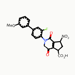 COc1cccc(-c2ccc(N3CC(=O)C4=C(C3=O)C([N+](=O)[O-])CC4C(=O)O)c(F)c2)c1